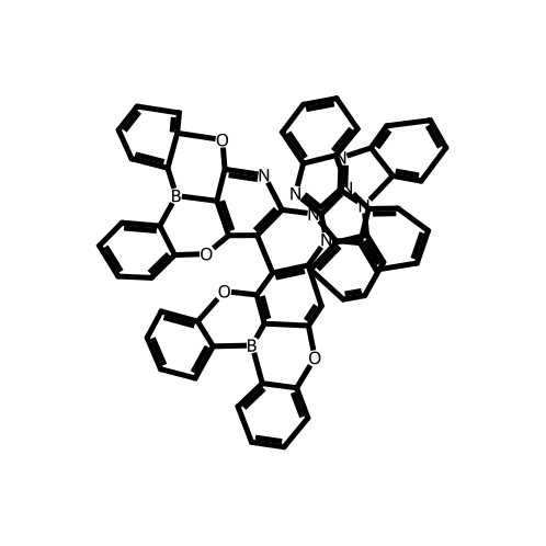 c1ccc2c(c1)Oc1cc(-n3c4ccccc4n4c5ccccc5nc34)c(-c3c(-n4c5ccccc5n5c6ccccc6nc45)nc4c5c3Oc3ccccc3B5c3ccccc3O4)c3c1B2c1ccccc1O3